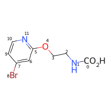 O=C(O)NCCOc1cc(Br)ccn1